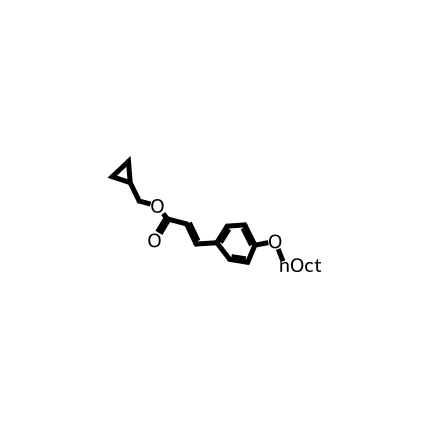 CCCCCCCCOc1ccc(/C=C/C(=O)OCC2CC2)cc1